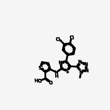 Cn1nnnc1-c1sc(Nc2ccsc2C(=O)O)nc1-c1ccc(Cl)c(Cl)c1